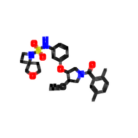 COC1CN(C(=O)c2cc(C)ccc2C)CC1Oc1cccc(NS(=O)(=O)N2CCC23CCOC3)c1